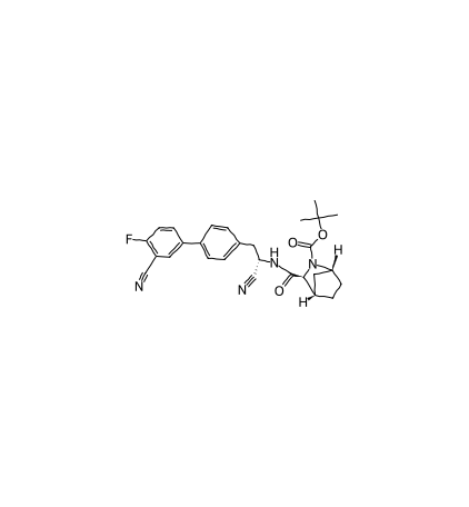 CC(C)(C)OC(=O)N1[C@@H]2CC[C@@H](C2)[C@H]1C(=O)N[C@H](C#N)Cc1ccc(-c2ccc(F)c(C#N)c2)cc1